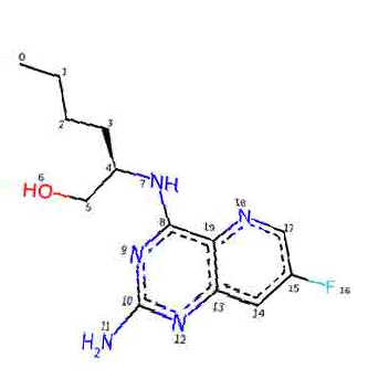 CCCC[C@H](CO)Nc1nc(N)nc2cc(F)cnc12